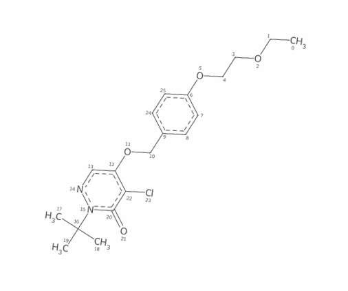 CCOCCOc1ccc(COc2cnn(C(C)(C)C)c(=O)c2Cl)cc1